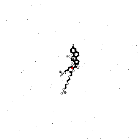 C[C@H]1CC2C3CCC4=CC(=O)C=C[C@]4(C)[C@@]3(Cl)[C@@H](O)C[C@]2(C)[C@@]1(OC(=O)CCCO[N+](=O)[O-])C(=O)COC(=O)COCCOCCO[N+](=O)[O-]